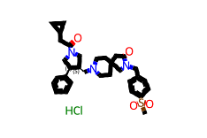 CS(=O)(=O)c1ccc(CN2CC3(CCN(C[C@H]4CN(C(=O)CC5CC5)C[C@@H]4c4ccccc4)CC3)CC2=O)cc1.Cl